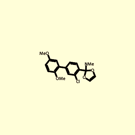 CNC1(c2ccc(-c3cc(OC)ccc3OC)cc2Cl)OC=CO1